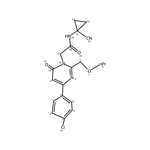 CCCOCc1nc(-c2ccc(Cl)cc2)cc(=O)n1CC(=O)NC1(C#N)CC1